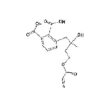 C=CC(=O)OCCC(C)(O)Cc1cccc(C(=O)O)c1C(=O)O